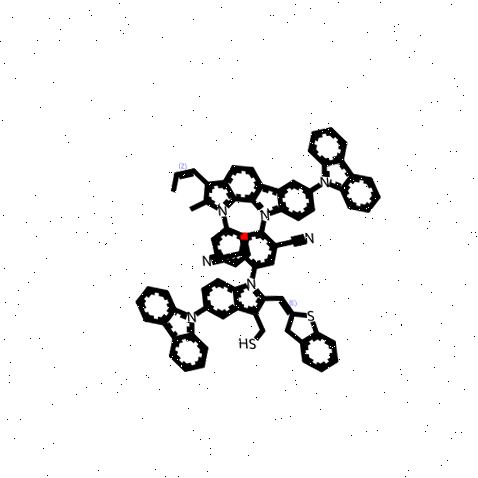 C/C=C\c1c(C)n(-c2ccccc2)c2c1ccc1c3cc(-n4c5ccccc5c5ccccc54)ccc3n(-c3cc(C#N)c(-n4c(/C=C5\Cc6ccccc6S5)c(CS)c5cc(-n6c7ccccc7c7ccccc76)ccc54)cc3C#N)c12